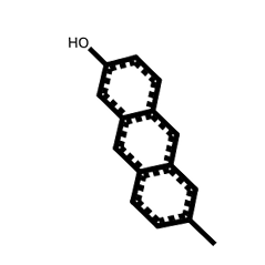 Cc1ccc2cc3cc(O)ccc3cc2c1